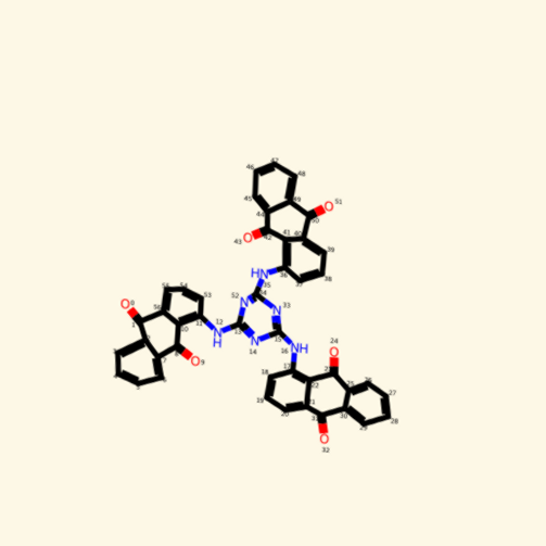 O=C1c2ccccc2C(=O)c2c(Nc3nc(Nc4cccc5c4C(=O)c4ccccc4C5=O)nc(Nc4cccc5c4C(=O)c4ccccc4C5=O)n3)cccc21